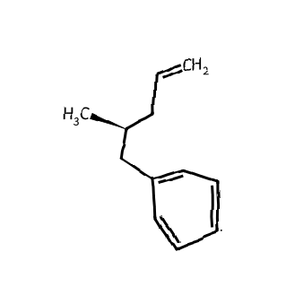 C=CC[C@H](C)Cc1cc[c]cc1